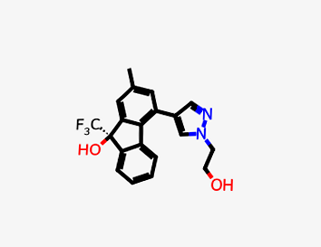 Cc1cc(-c2cnn(CCO)c2)c2c(c1)[C@@](O)(C(F)(F)F)c1ccccc1-2